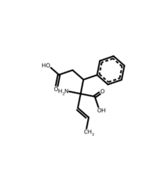 CC=CC(N)(C(=O)O)C(CC(=O)O)c1ccccc1